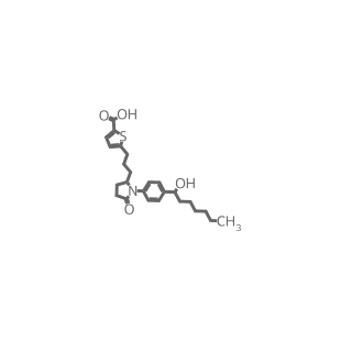 CCCCCCC(O)c1ccc(N2C(=O)CCC2CCCc2ccc(C(=O)O)s2)cc1